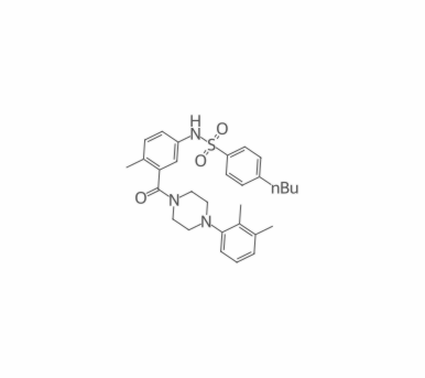 CCCCc1ccc(S(=O)(=O)Nc2ccc(C)c(C(=O)N3CCN(c4cccc(C)c4C)CC3)c2)cc1